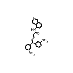 O=C(C=CC=C(c1cccc([N+](=O)[O-])c1)c1cccc([N+](=O)[O-])c1)Nc1cccc2cnccc12